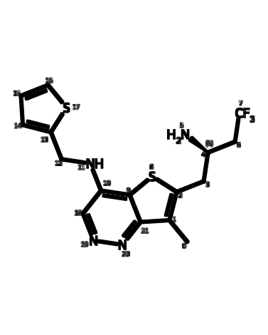 Cc1c(C[C@@H](N)CC(F)(F)F)sc2c(NCc3cccs3)cnnc12